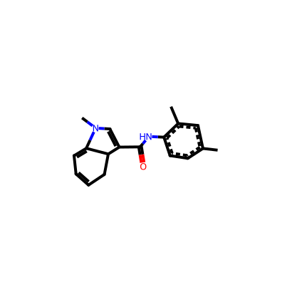 Cc1ccc(NC(=O)C2=CN(C)C3=CC=CCC23)c(C)c1